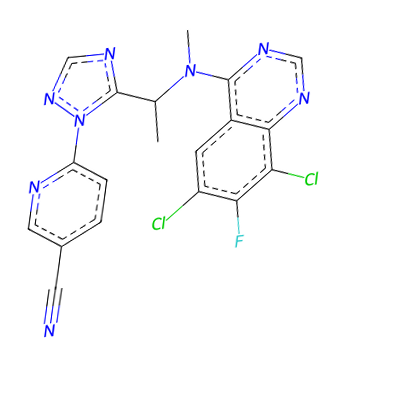 CC(c1ncnn1-c1ccc(C#N)cn1)N(C)c1ncnc2c(Cl)c(F)c(Cl)cc12